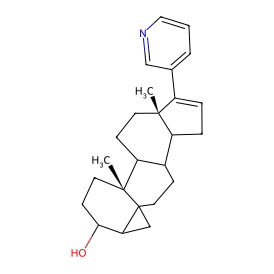 C[C@]12CCC3C(CCC45CC4C(O)CC[C@]35C)C1CC=C2c1cccnc1